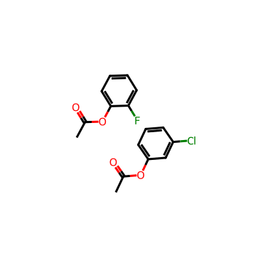 CC(=O)Oc1cccc(Cl)c1.CC(=O)Oc1ccccc1F